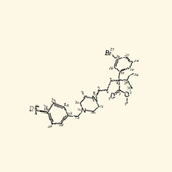 COC(=O)C(CCCN1CCN(Cc2ccc(F)cc2)CC1)(c1cccc(Br)c1)C(C)C